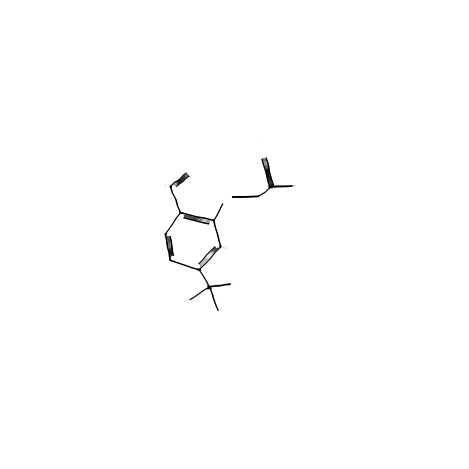 CC(C)(C)c1ccc(C=O)c(OCC(=O)O)c1